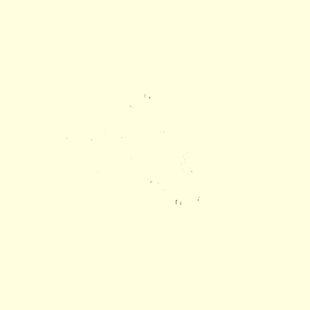 Cn1ncc2c(-c3ccc(F)cc3)c(-c3ccncc3)c(-c3ccc(F)cc3)nc21